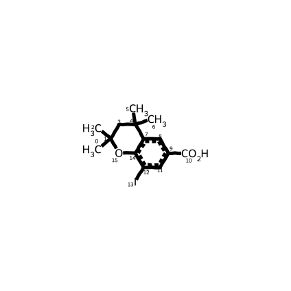 CC1(C)CC(C)(C)c2cc(C(=O)O)cc(I)c2O1